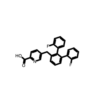 O=C(O)c1ccc(Cc2cccc(-c3ccccc3F)c2-c2ccccc2F)cn1